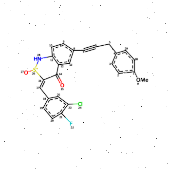 COc1ccc(CC#Cc2ccc3c(c2)C(=O)/C(=C\c2ccc(F)c(Cl)c2)[S+]([O-])N3)cc1